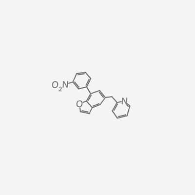 O=[N+]([O-])c1cccc(-c2cc(Cc3ccccn3)cc3ccoc23)c1